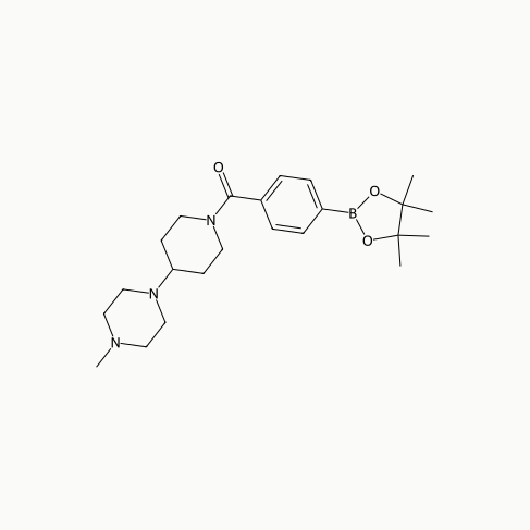 CN1CCN(C2CCN(C(=O)c3ccc(B4OC(C)(C)C(C)(C)O4)cc3)CC2)CC1